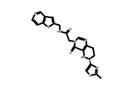 Cc1nc([C@@H]2CCc3ncn(CC(=O)NCc4cc5cnccc5s4)c(=O)c3N2)cs1